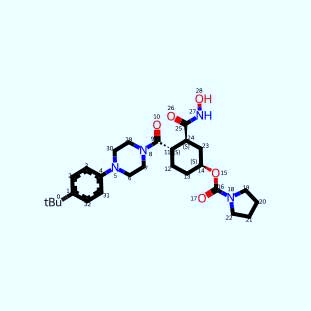 CC(C)(C)c1ccc(N2CCN(C(=O)[C@H]3CC[C@H](OC(=O)N4CCCC4)C[C@@H]3C(=O)NO)CC2)cc1